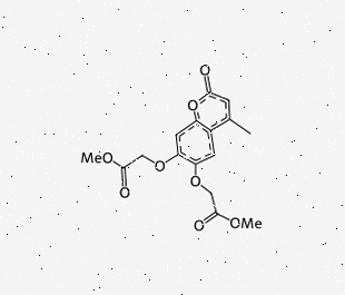 COC(=O)COc1cc2oc(=O)cc(C)c2cc1OCC(=O)OC